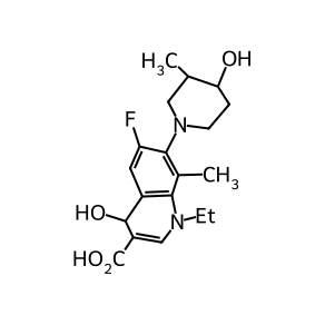 CCN1C=C(C(=O)O)C(O)c2cc(F)c(N3CCC(O)C(C)C3)c(C)c21